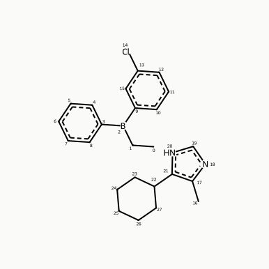 CCB(c1ccccc1)c1cccc(Cl)c1.Cc1nc[nH]c1C1CCCCC1